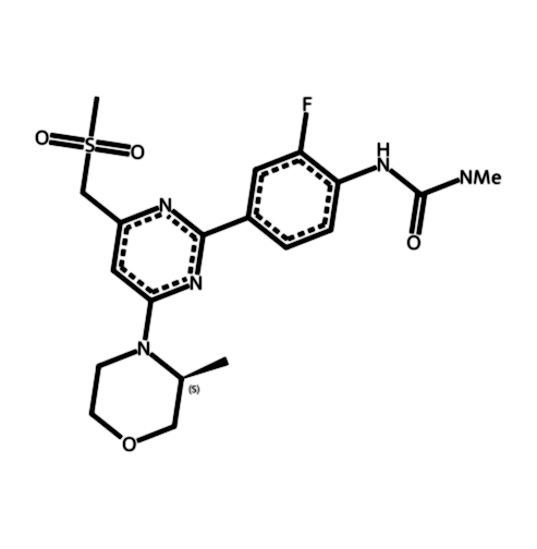 CNC(=O)Nc1ccc(-c2nc(CS(C)(=O)=O)cc(N3CCOC[C@@H]3C)n2)cc1F